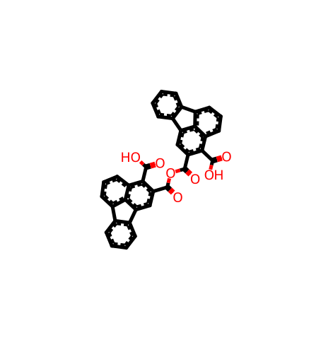 O=C(OC(=O)c1cc2c3c(cccc3c1C(=O)O)-c1ccccc1-2)c1cc2c3c(cccc3c1C(=O)O)-c1ccccc1-2